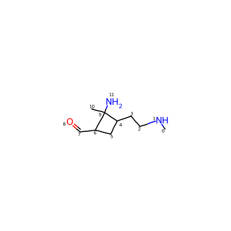 CNCCC1CC(C=O)C1(C)N